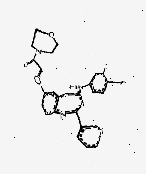 O=C(COc1ccc2nc(-c3cccnc3)nc(Nc3ccc(F)c(Cl)c3)c2c1)N1CCOCC1